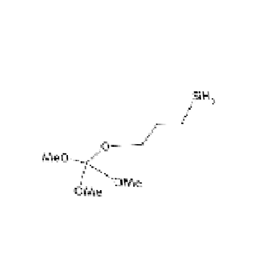 COC(OC)(OC)OCCC[SiH3]